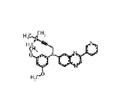 COc1cc(OC)cc(N(CC#C[Si](C)(C)C)c2ccc3ncc(-c4cccnc4)nc3c2)c1